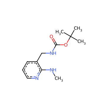 CNc1ncccc1CNC(=O)OC(C)(C)C